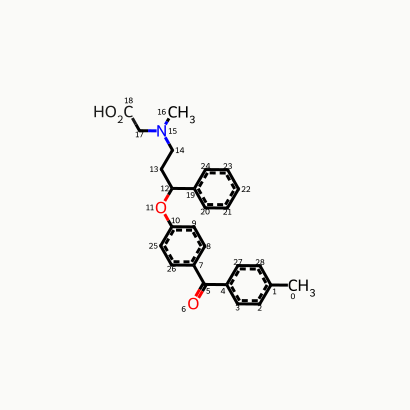 Cc1ccc(C(=O)c2ccc(OC(CCN(C)CC(=O)O)c3ccccc3)cc2)cc1